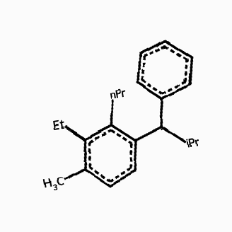 CCCc1c([C](c2ccccc2)C(C)C)ccc(C)c1CC